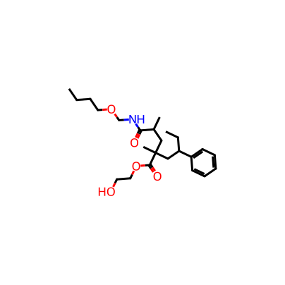 CCCCOCNC(=O)C(C)CC(C)(CC(CC)c1ccccc1)C(=O)OCCO